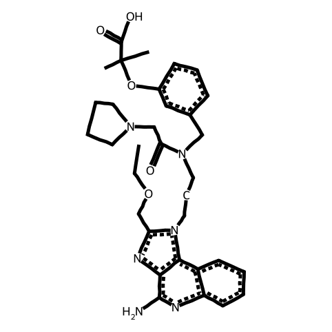 CCOCc1nc2c(N)nc3ccccc3c2n1CCCN(Cc1cccc(OC(C)(C)C(=O)O)c1)C(=O)CN1CCCC1